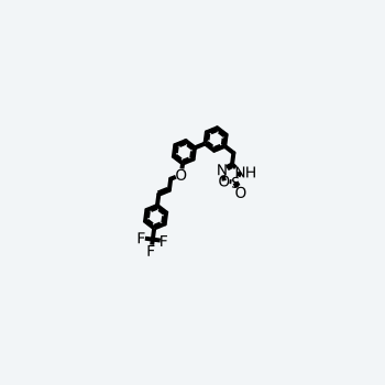 O=S1NC(Cc2cccc(-c3cccc(OC/C=C/c4ccc(C(F)(F)F)cc4)c3)c2)=NO1